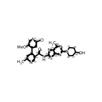 COc1cnc(Cl)cc1-c1cc(C)ncc1C(=O)Nc1nc2c(C)nc(N3CCC(O)CC3)nc2s1